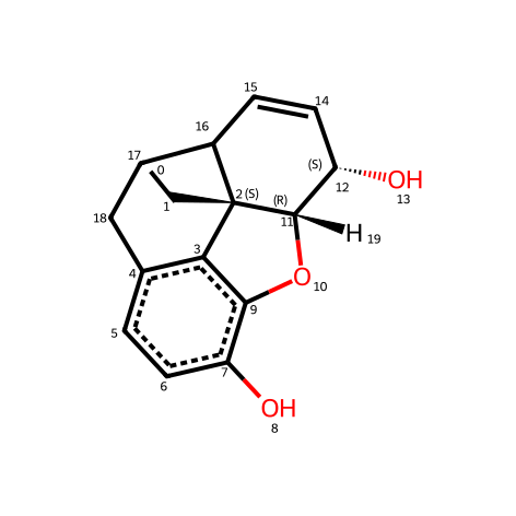 CC[C@]12c3c4ccc(O)c3O[C@H]1[C@@H](O)C=CC2CC4